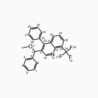 COC(c1ccccc1)c1cnc2c(C(F)(F)F)cccc2c1-c1ccccc1